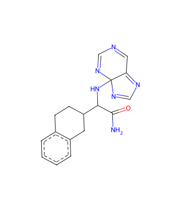 NC(=O)C(NC12N=CN=CC1=NC=N2)C1CCc2ccccc2C1